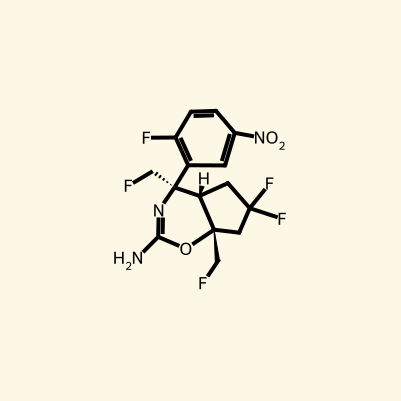 NC1=N[C@@](CF)(c2cc([N+](=O)[O-])ccc2F)[C@@H]2CC(F)(F)C[C@]2(CF)O1